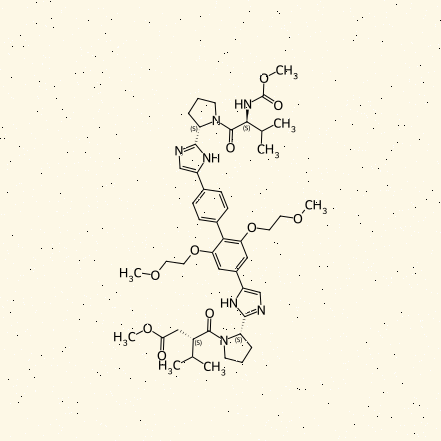 COCCOc1cc(-c2cnc([C@@H]3CCCN3C(=O)[C@@H](CC(=O)OC)C(C)C)[nH]2)cc(OCCOC)c1-c1ccc(-c2cnc([C@@H]3CCCN3C(=O)[C@@H](NC(=O)OC)C(C)C)[nH]2)cc1